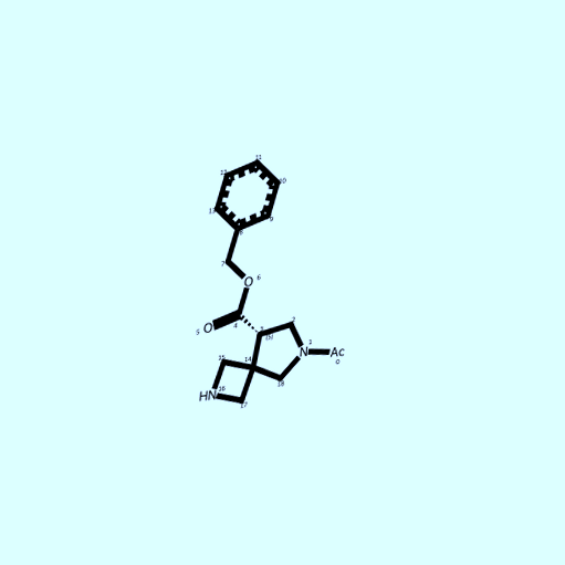 CC(=O)N1C[C@@H](C(=O)OCc2ccccc2)C2(CNC2)C1